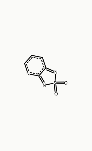 O=S1(=O)N=c2cccnc2=N1